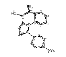 COc1ccc(-c2nccn2-c2ccccc2C(N)=NO)cc1